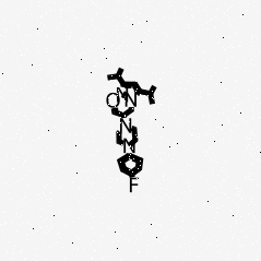 CC(C)c1cc(C(C)C)n(CC(C=O)N2CCN(c3ccc(F)cc3)CC2)n1